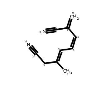 C=C(C#N)/C=C\C=C(/C)CC#N